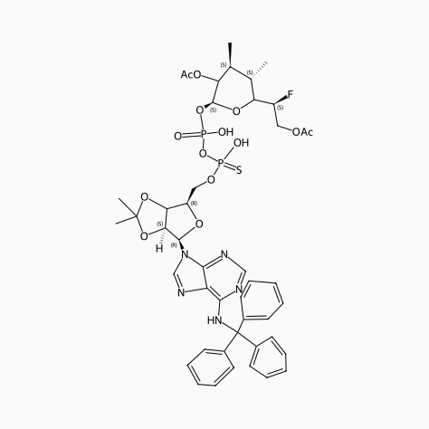 CC(=O)OC[C@H](F)C1O[C@@H](OP(=O)(O)OP(O)(=S)OC[C@H]2O[C@@H](n3cnc4c(NC(c5ccccc5)(c5ccccc5)c5ccccc5)ncnc43)[C@H]3OC(C)(C)OC23)C(OC(C)=O)[C@@H](C)[C@@H]1C